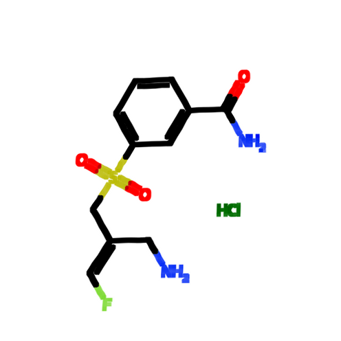 Cl.NC/C(=C\F)CS(=O)(=O)c1cccc(C(N)=O)c1